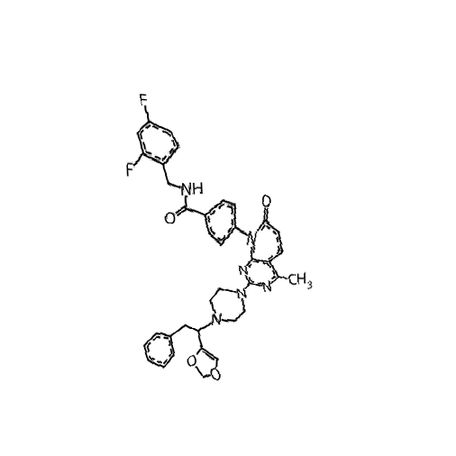 Cc1nc(N2CCN(C(Cc3ccccc3)C3=COCO3)CC2)nc2c1ccc(=O)n2-c1ccc(C(=O)NCc2ccc(F)cc2F)cc1